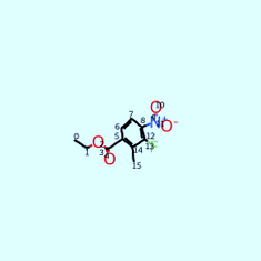 CCOC(=O)c1ccc([N+](=O)[O-])c(F)c1C